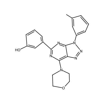 Cc1cccc(-n2nnc3c(N4CCOCC4)nc(-c4cccc(O)c4)nc32)c1